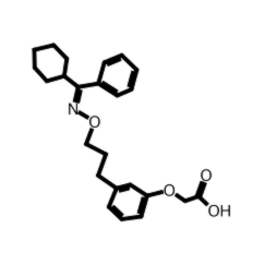 O=C(O)COc1cccc(CCCON=C(c2ccccc2)C2CCCCC2)c1